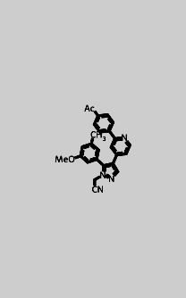 COc1cc(C)cc(-c2c(-c3ccnc(-c4ccc(C(C)=O)cc4)c3)cnn2CC#N)c1